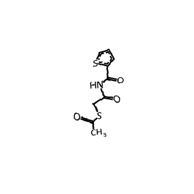 CC(=O)SCC(=O)NC(=O)c1cccs1